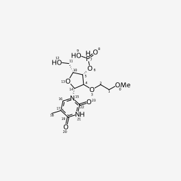 COCCOC1[C@@H](O[PH](=O)O)[C@@H](CO)O[C@H]1n1cc(C)c(=O)[nH]c1=O